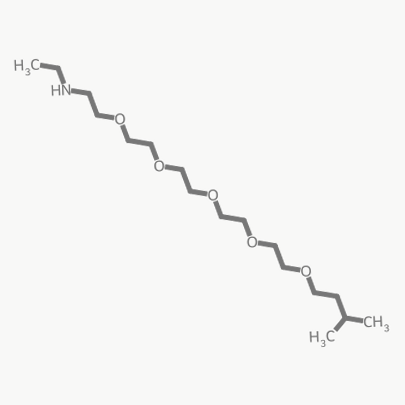 CCNCCOCCOCCOCCOCCOCCC(C)C